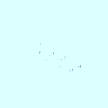 CC(C)=C(O)[C@@]1(O[C@H]2O[C@H](CO)[C@@H](O)[C@H](O)[C@H]2O)O[C@H](CO)[C@@H](O)[C@@H]1O